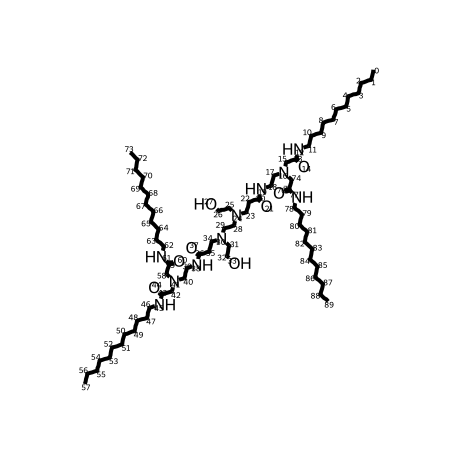 CCCCCCCCCCCCNC(=O)CN(CCNC(=O)CCN(CCO)CCN(CCO)CCC(=O)NCCN(CC(=O)NCCCCCCCCCCCC)CC(=O)NCCCCCCCCCCCC)CC(=O)NCCCCCCCCCCCC